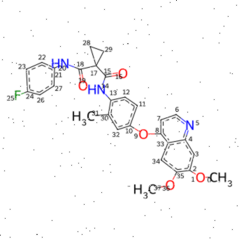 COc1cc2nccc(Oc3ccc(NC(=O)C4(C(=O)Nc5ccc(F)cc5)CC4)c(C)c3)c2cc1OC